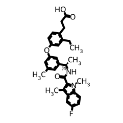 CCc1cc(Oc2cc(C)cc([C@@H](C)NC(=O)c3c(C)c4cc(F)ccc4n3C)c2)ccc1CCC(=O)O